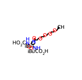 C#CCOCCOCCOCCOCCC(=O)N1C[C@@H](C(=O)NC(C(=O)O)[C@@H](C)CC)[C@H](C(=O)N[C@H](C(=O)O)[C@@H](C)CC)C1